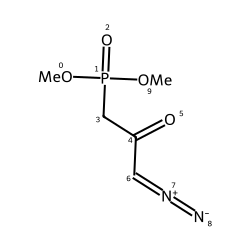 COP(=O)(CC(=O)C=[N+]=[N-])OC